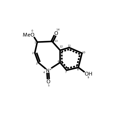 COC1C=C[N+](=O)c2cc(O)ccc2C1=O